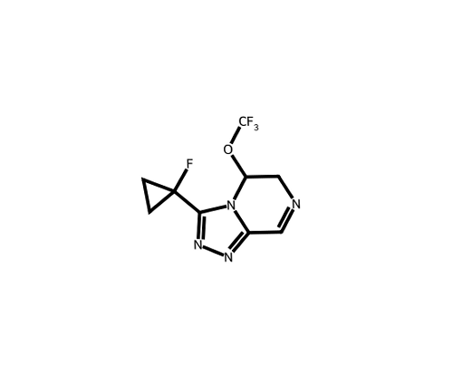 FC(F)(F)OC1CN=Cc2nnc(C3(F)CC3)n21